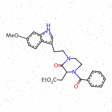 CCOC(=O)CC1C(=O)N(CCc2c[nH]c3cc(OC)ccc23)CCN1C(=O)c1ccccc1